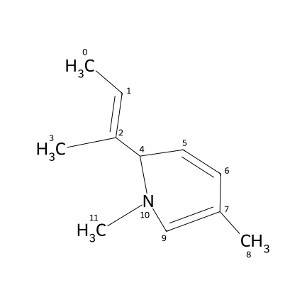 C/C=C(\C)C1C=CC(C)=CN1C